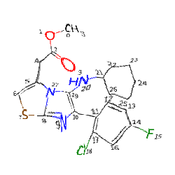 COC(=O)Cc1csc2nc(-c3ccc(F)cc3Cl)c(NC3CCCCC3)n12